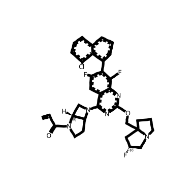 C=CC(=O)N1CCC2[C@H]1CN2c1nc(OCC23CCCN2C[C@H](F)C3)nc2c(F)c(-c3cccc4cccc(Cl)c34)c(F)cc12